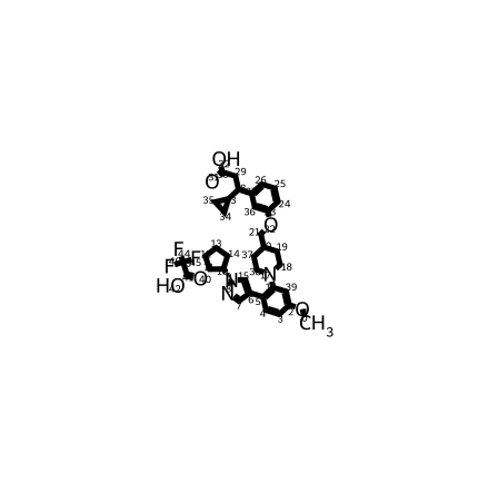 COc1ccc(-c2cnn(C3CCCC3)c2)c(N2CCC(COc3cccc(C(CC(=O)O)C4CC4)c3)CC2)c1.O=C(O)C(F)(F)F